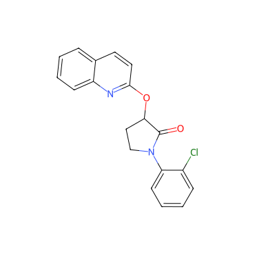 O=C1C(Oc2ccc3ccccc3n2)CCN1c1ccccc1Cl